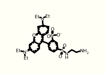 CCN(CC)c1ccc2c(-c3ccc(S(=O)(=O)NCCN)cc3S(=O)(=O)[O-])c3ccc(=[N+](CC)CC)cc-3oc2c1